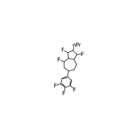 CCCC1C(F)C2CCC(c3cc(F)c(F)c(F)c3)CC(F)C2C1F